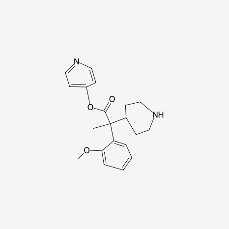 COc1ccccc1C(C)(C(=O)Oc1ccncc1)C1CCNCC1